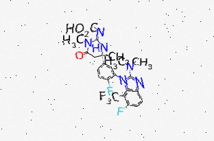 CN1C(=O)C[C@@](C)(c2ccc(F)c(-n3c(N(C)C)nc4ccc(F)c(C(F)(F)F)c43)c2)N/C1=N/C(=O)O